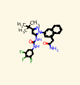 CC(C)(C)c1cc(NC(=O)Nc2cc(F)c(F)c(F)c2)n(-c2cc(CC(N)=O)c3ccccc3c2)n1